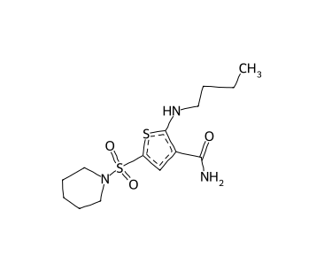 CCCCNc1sc(S(=O)(=O)N2CCCCC2)cc1C(N)=O